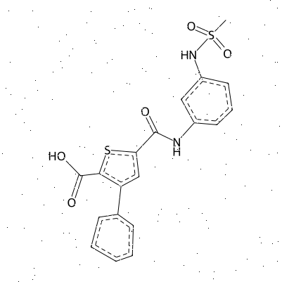 CS(=O)(=O)Nc1cccc(NC(=O)c2cc(-c3ccccc3)c(C(=O)O)s2)c1